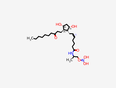 CCCCCCCC(=O)CC[C@@H]1[C@@H](C/C=C\CCCC(=O)NC(C)CON(O)O)[C@@H](O)C[C@H]1O